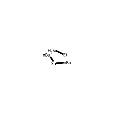 CCC[CH2][Sn][CH2]CCC.CC[SiH3]